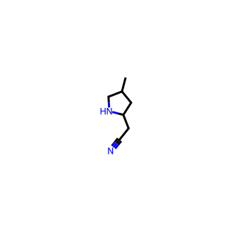 CC1CNC(CC#N)C1